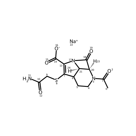 CC(=O)N1CCC2C(SCC(N)=O)=C(C(=O)[O-])N3C(=O)[C@@H]1[C@@H]23.[Na+]